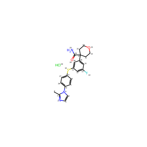 Cc1nccn1-c1ccc(Sc2cc(F)cc(C3(C(N)=O)CCOCC3)c2)cc1.Cl